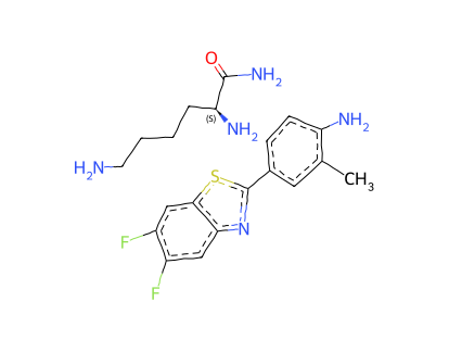 Cc1cc(-c2nc3cc(F)c(F)cc3s2)ccc1N.NCCCC[C@H](N)C(N)=O